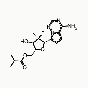 CC(C)C(=O)OC[C@H]1O[C@@H](c2ccc3c(N)ncnn23)[C@](C)(F)[C@@H]1O